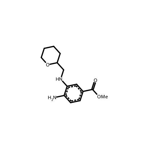 COC(=O)c1ccc(N)c(NCC2CCCCO2)c1